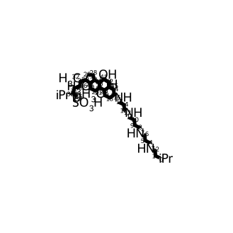 CC(C)CCNCCCNCCCCNCCCN[C@H]1CC[C@]2(C)C3CC[C@@]4(C)C(CC[C@@H]4[C@H](C)CC[C@@H](OS(=O)(=O)O)C(C)C)C3[C@@H](O)C[C@@H]2C1